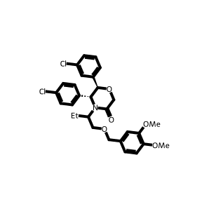 CCC(COCc1ccc(OC)c(OC)c1)N1C(=O)CO[C@H](c2cccc(Cl)c2)[C@H]1c1ccc(Cl)cc1